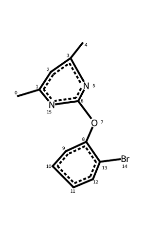 Cc1cc(C)nc(Oc2ccccc2Br)n1